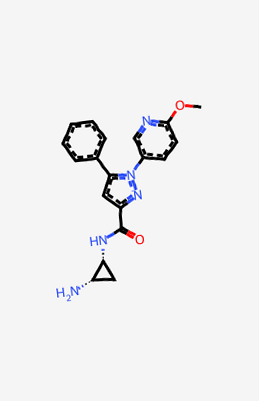 COc1ccc(-n2nc(C(=O)N[C@@H]3C[C@@H]3N)cc2-c2ccccc2)cn1